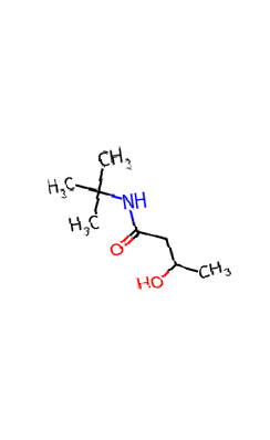 CC(O)CC(=O)NC(C)(C)C